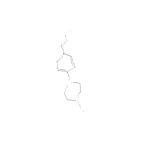 CN1CCN(c2ccc(C=CC(=O)O)cc2)CC1